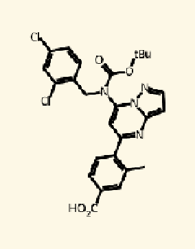 Cc1cc(C(=O)O)ccc1-c1cc(N(Cc2ccc(Cl)cc2Cl)C(=O)OC(C)(C)C)n2nccc2n1